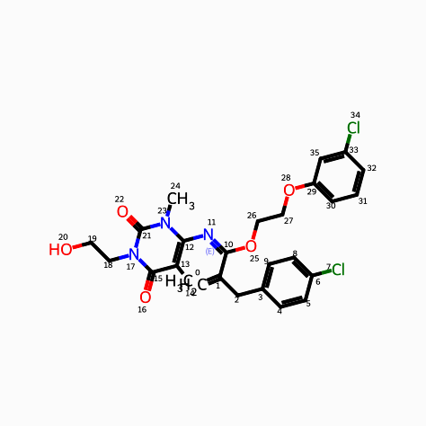 C=C(Cc1ccc(Cl)cc1)/C(=N\c1c(C)c(=O)n(CCO)c(=O)n1C)OCCOc1cccc(Cl)c1